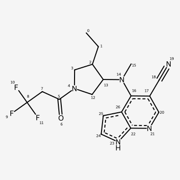 CCC1CN(C(=O)CC(F)(F)F)CC1N(C)c1c(C#N)cnc2[nH]ccc12